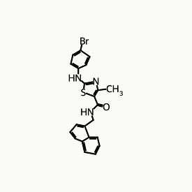 Cc1nc(Nc2ccc(Br)cc2)sc1C(=O)NCc1cccc2ccccc12